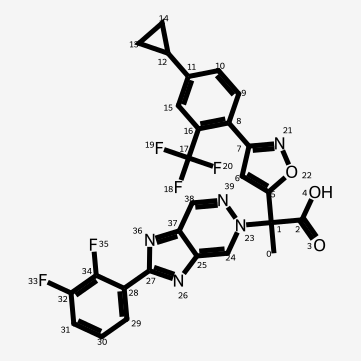 CC(C(=O)O)(c1cc(-c2ccc(C3CC3)cc2C(F)(F)F)no1)n1cc2nc(-c3cccc(F)c3F)nc-2cn1